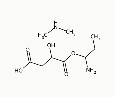 CCC(N)OC(=O)C(O)CC(=O)O.CNC